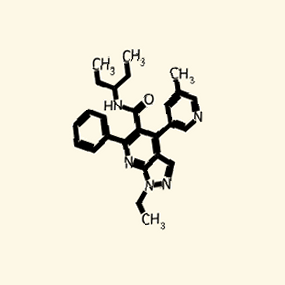 CCC(CC)NC(=O)c1c(-c2ccccc2)nc2c(cnn2CC)c1-c1cncc(C)c1